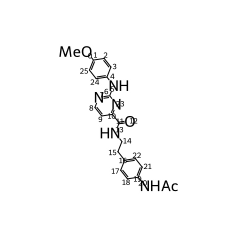 COc1ccc(Nc2nccc(C(=O)NCCc3ccc(NC(C)=O)cc3)n2)cc1